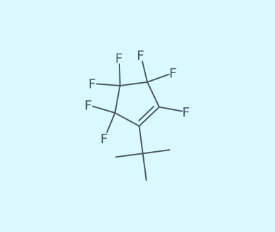 CC(C)(C)C1=C(F)C(F)(F)C(F)(F)C1(F)F